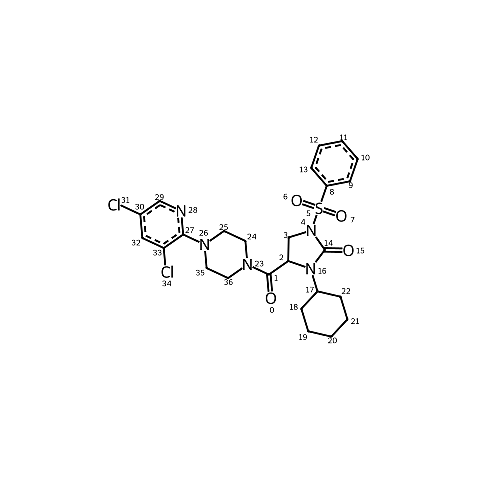 O=C(C1CN(S(=O)(=O)c2ccccc2)C(=O)N1C1CCCCC1)N1CCN(c2ncc(Cl)cc2Cl)CC1